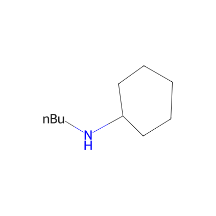 [CH2]CCCNC1CCCCC1